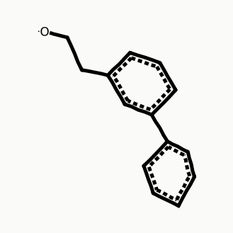 [O]CCc1cccc(-c2ccccc2)c1